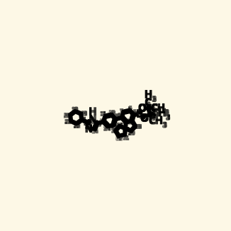 CC1(C)OB(c2ccc(-c3ccc(-c4cnc(C5CCCCC5)[nH]4)cc3)c3c2CCC32CCCC2)OC1(C)C